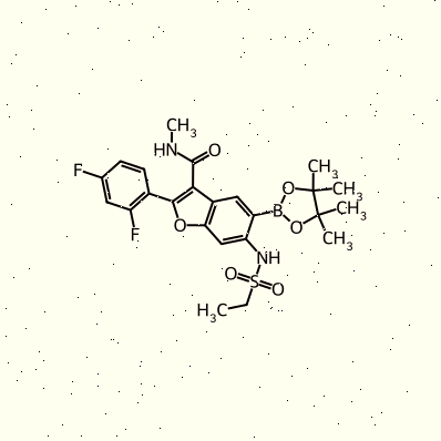 CCS(=O)(=O)Nc1cc2oc(-c3ccc(F)cc3F)c(C(=O)NC)c2cc1B1OC(C)(C)C(C)(C)O1